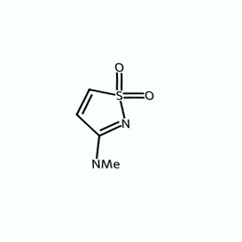 CNC1=NS(=O)(=O)C=C1